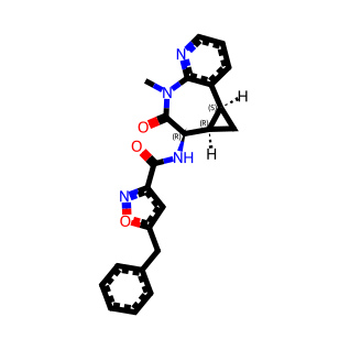 CN1C(=O)[C@H](NC(=O)c2cc(Cc3ccccc3)on2)[C@@H]2C[C@@H]2c2cccnc21